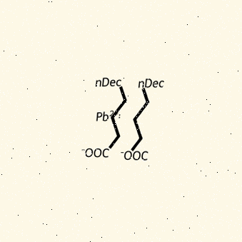 CCCCCCCCCCCCCC(=O)[O-].CCCCCCCCCCCCCC(=O)[O-].[Pb+2]